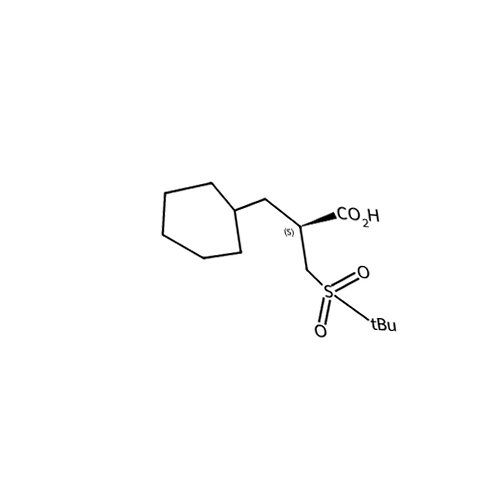 CC(C)(C)S(=O)(=O)C[C@@H](CC1CCCCC1)C(=O)O